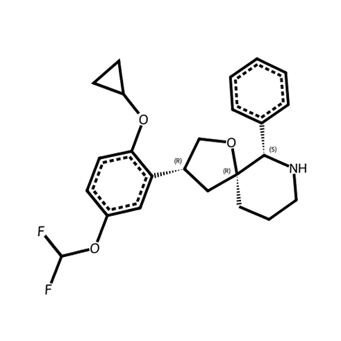 FC(F)Oc1ccc(OC2CC2)c([C@@H]2CO[C@]3(CCCN[C@H]3c3ccccc3)C2)c1